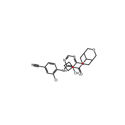 Cc1c(Nc2ccc(C#N)cc2Cl)ncnc1OC1C2COCC1CN(C(=O)C1CCC1)C2